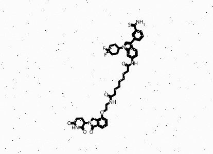 NC(=S)c1cccc(-c2cn(C3CCC(F)(F)CC3)c3cc(NC(=O)CCCCCCCC(=O)NCCOc4cccc5c4CN(C4CCC(=O)NC4=O)C5=O)ccc23)c1